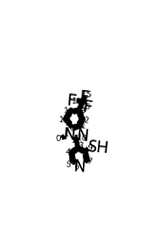 Cn1c(-c2ccncc2S)nc2cc(C(F)(F)F)ccc21